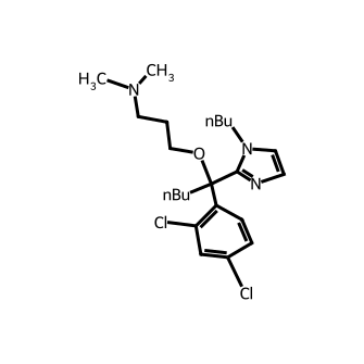 CCCCn1ccnc1C(CCCC)(OCCCN(C)C)c1ccc(Cl)cc1Cl